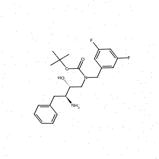 CC(C)(C)OC(=O)N(Cc1cc(F)cc(F)c1)C[C@@H](O)[C@@H](N)Cc1ccccc1